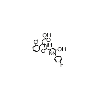 O=C(O)CC(NC(=O)c1cc(O)n(-c2ccc(F)cc2)n1)c1ccccc1Cl